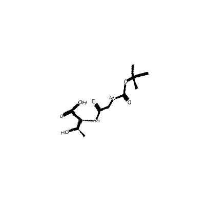 C[C@@H](O)[C@H](NC(=O)CNC(=O)OC(C)(C)C)C(=O)O